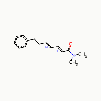 CN(C)C(=O)/C=C/C=C/CCc1ccccc1